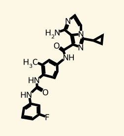 Cc1cc(NC(=O)c2nc(C3CC3)n3ccnc(N)c23)ccc1NC(=O)Nc1cccc(F)c1